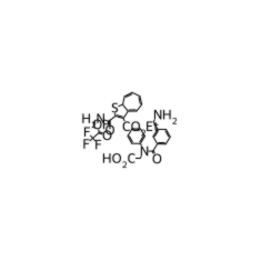 CCOC(=O)C1=C(C(N)=O)SC2C=CC=CC=C12.NCc1cccc(C(=O)N(CC(=O)O)c2ccccc2)c1.O=C(O)C(F)(F)F